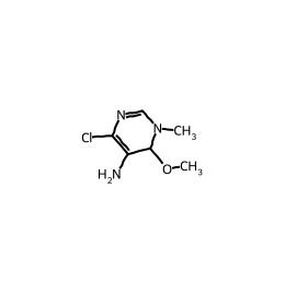 COC1C(N)=C(Cl)N=CN1C